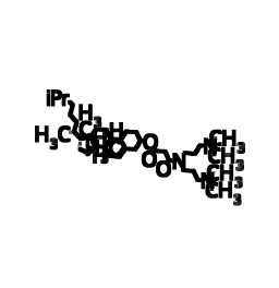 CC(C)CCC[C@@H](C)[C@H]1CC[C@H]2[C@@H]3CC=C4C[C@@H](OC(=O)CC(=O)N(CCCN(C)C)CCCN(C)C)CC[C@]4(C)[C@H]3CC[C@]12C